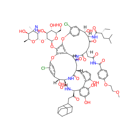 CC[C@H](CC(C)C)C(=O)N[C@H]1C(=O)C[C@@H](CC(=O)NC(=O)c2ccc(OCCOC)cc2)C(=O)N[C@H]2C(=O)C[C@H]3C(=O)N[C@H](C(=O)N[C@H](C(=O)CC4C5CC6CC(C5)CC4C6)c4cc(O)cc(O)c4-c4cc3ccc4O)[C@H](O)c3ccc(c(Cl)c3)Oc3cc2cc(c3O[C@@H]2O[C@H](CO)[C@@H](O)[C@H](O)[C@H]2O[C@H]2C[C@](C)(N)[C@H](O)[C@H](C)O2)Oc2ccc(cc2Cl)[C@H]1O